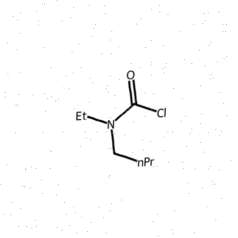 CCCCN(CC)C(=O)Cl